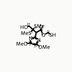 COc1cc(OC)nc(C(C(=O)OCS)C(CO)(SC)SC)n1